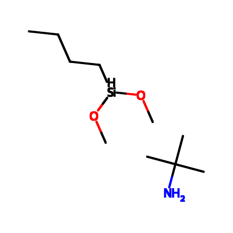 CC(C)(C)N.CCCC[SiH](OC)OC